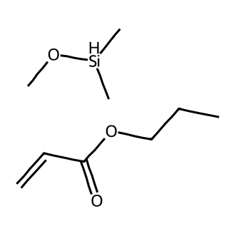 C=CC(=O)OCCC.CO[SiH](C)C